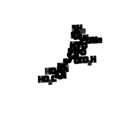 CO/N=C(\C(=O)N[C@@H]1C(=O)N2C(OC(=O)O)=C(CSc3nc4ncc(C(=O)O)c(O)n4n3)CS[C@H]12)c1csc(N)n1